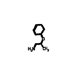 C[C@@H](CN)OC1CC=CCC1